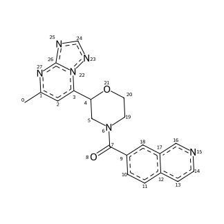 Cc1cc(C2CN(C(=O)c3ccc4ccncc4c3)CCO2)n2ncnc2n1